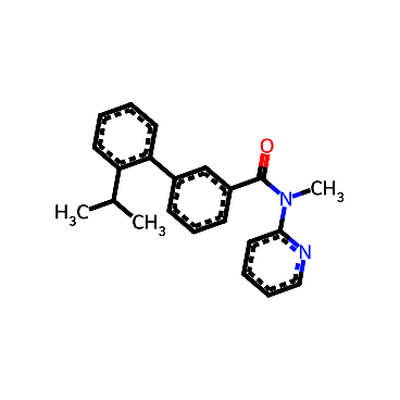 CC(C)c1ccccc1-c1cccc(C(=O)N(C)c2ccccn2)c1